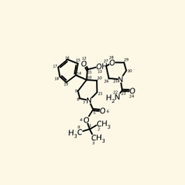 CC(C)(C)OC(=O)N1CCC(C(=O)O)(c2ccccc2)CC1.NC(=O)N1CCOCC1